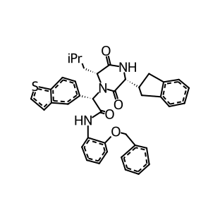 CC(C)C[C@@H]1C(=O)N[C@H](C2Cc3ccccc3C2)C(=O)N1[C@H](C(=O)Nc1ccccc1OCc1ccccc1)c1ccc2sccc2c1